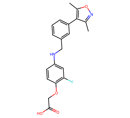 Cc1noc(C)c1-c1cccc(CNc2ccc(OCC(=O)O)c(F)c2)c1